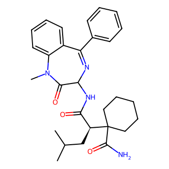 CC(C)C[C@@H](C(=O)NC1N=C(c2ccccc2)c2ccccc2N(C)C1=O)C1(C(N)=O)CCCCC1